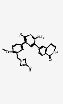 COc1ccc(-c2cc(-c3ccc4c(c3)CCNC4=O)c(N)nc2F)cc1CN1CC(OC)C1